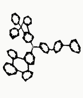 c1ccc(-c2ccc(-c3ccc(N(c4ccc5c(c4)-c4ccccc4-c4ccccc4-c4ccccc4-5)c4ccc5c(c4)-c4ccccc4C5(c4ccccc4)c4ccccc4)cc3)cc2)cc1